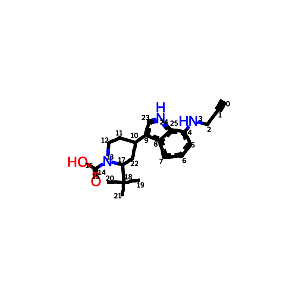 C#CCNc1cccc2c(C3CCN(C(=O)O)C(C(C)(C)C)C3)c[nH]c12